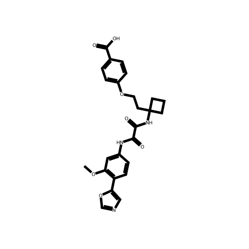 COc1cc(NC(=O)C(=O)NC2(CCOc3ccc(C(=O)O)cc3)CCC2)ccc1-c1cnco1